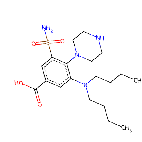 CCCCN(CCCC)c1cc(C(=O)O)cc(S(N)(=O)=O)c1N1CCNCC1